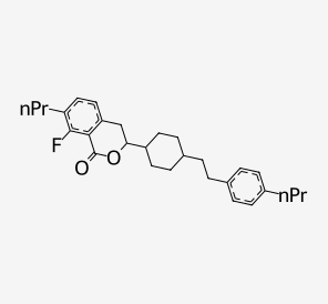 CCCc1ccc(CCC2CCC(C3Cc4ccc(CCC)c(F)c4C(=O)O3)CC2)cc1